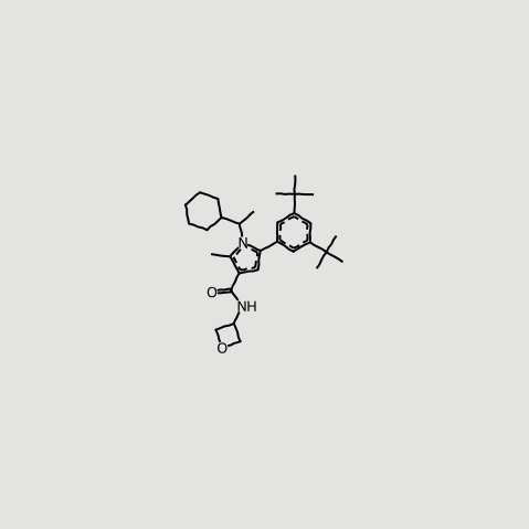 Cc1c(C(=O)NC2COC2)cc(-c2cc(C(C)(C)C)cc(C(C)(C)C)c2)n1C(C)C1CCCCC1